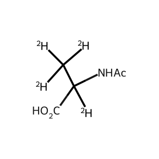 [2H]C([2H])([2H])C([2H])(NC(C)=O)C(=O)O